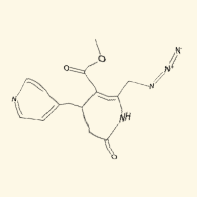 COC(=O)C1=C(CN=[N+]=[N-])NC(=O)CC1c1ccncc1